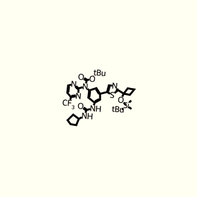 CC(C)(C)OC(=O)N(c1cc(NC(=O)NC2CCCC2)cc(-c2cnc(C3(O[Si](C)(C)C(C)(C)C)CCC3)s2)c1)c1nccc(C(F)(F)F)n1